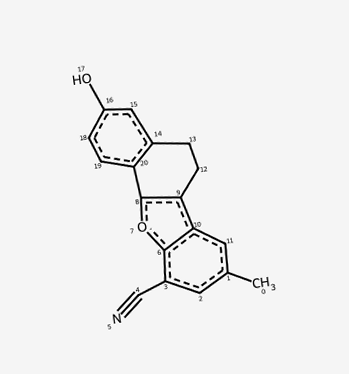 Cc1cc(C#N)c2oc3c(c2c1)CCc1cc(O)ccc1-3